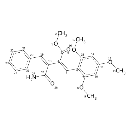 COC(=O)C(=Cc1c(OC)cc(OC)cc1OC)C(=Cc1ccccc1)C(N)=O